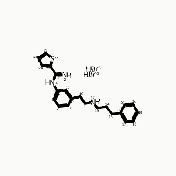 Br.Br.N=C(Nc1cccc(CCNCCCc2ccccc2)c1)c1cccs1